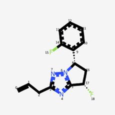 C=CCc1nc2n(n1)[C@H](c1ccccc1F)C[C@@H]2F